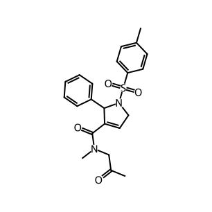 CC(=O)CN(C)C(=O)C1=CCN(S(=O)(=O)c2ccc(C)cc2)C1c1ccccc1